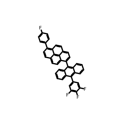 Fc1ccc(-c2ccc3ccc4c(-c5c6ccccc6c(-c6cc(F)c(F)c(F)c6)c6ccccc56)ccc5ccc2c3c54)cc1